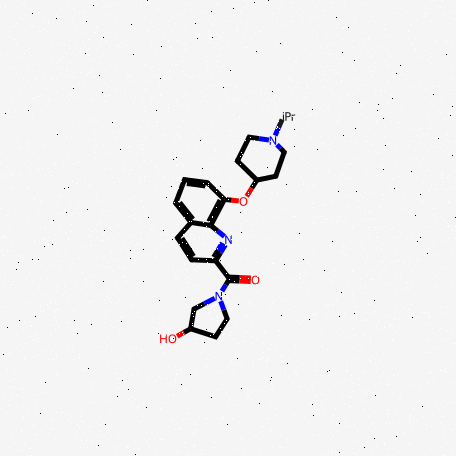 CC(C)N1CCC(Oc2cccc3ccc(C(=O)N4CCC(O)C4)nc23)CC1